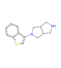 c1ccc2c(N3CC4CNCC4C3)csc2c1